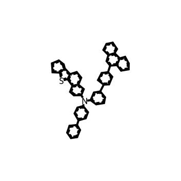 c1ccc(-c2ccc(N(c3cccc(-c4ccc(-c5cc6ccccc6c6ccccc56)cc4)c3)c3ccc4c(ccc5c6ccccc6sc45)c3)cc2)cc1